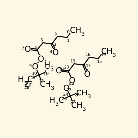 CCCC(=O)CC(=O)OOC(C)(C)C.CCCC(=O)CC(=O)OOC(C)(C)C.[Zr]